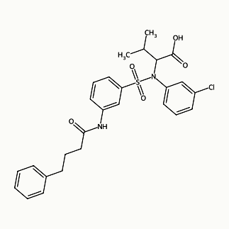 CC(C)C(C(=O)O)N(c1cccc(Cl)c1)S(=O)(=O)c1cccc(NC(=O)CCCc2ccccc2)c1